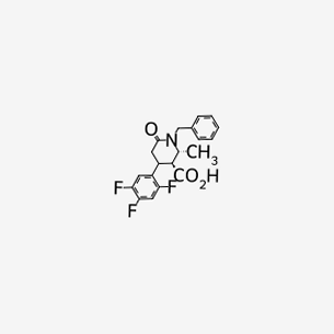 C[C@@H]1[C@@H](C(=O)O)C(c2cc(F)c(F)cc2F)CC(=O)N1Cc1ccccc1